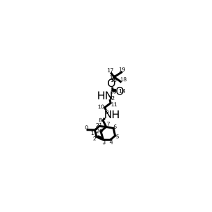 CC1C=C2CCCC(CNCCNC(=O)OC(C)(C)C)(C2)C1